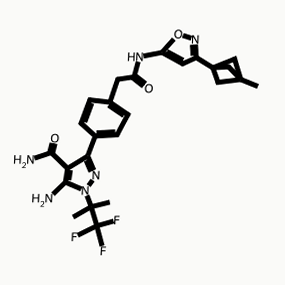 CC12CC(c3cc(NC(=O)Cc4ccc(-c5nn(C(C)(C)C(F)(F)F)c(N)c5C(N)=O)cc4)on3)(C1)C2